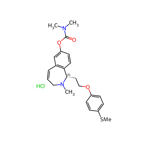 CSc1ccc(OCC[C@H]2c3ccc(OC(=O)N(C)C)cc3C=CCN2C)cc1.Cl